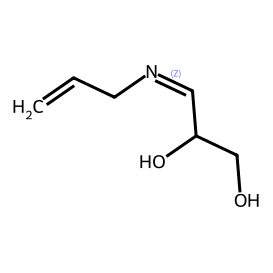 C=CC/N=C\C(O)CO